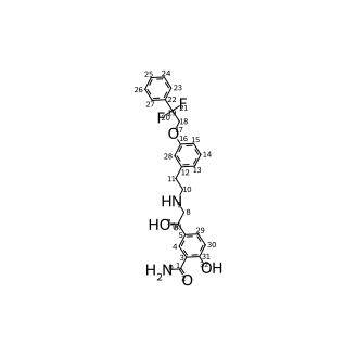 NC(=O)c1cc([C@@H](O)CNCCc2cccc(OCC(F)(F)c3ccccc3)c2)ccc1O